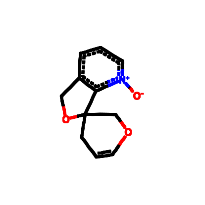 [O-][n+]1cccc2c1C1(CC=COC1)OC2